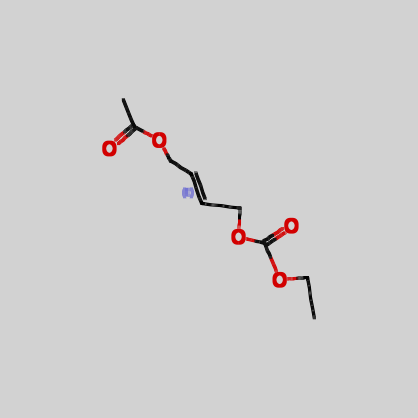 CCOC(=O)OC/C=C/COC(C)=O